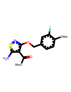 COC(=O)c1c(OCc2ccc(OC)c(F)c2)nsc1N